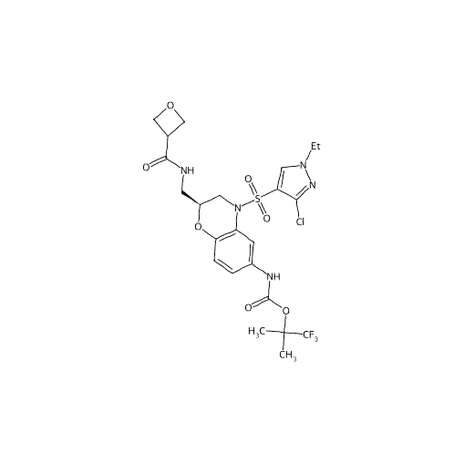 CCn1cc(S(=O)(=O)N2C[C@H](CNC(=O)C3COC3)Oc3ccc(NC(=O)OC(C)(C)C(F)(F)F)cc32)c(Cl)n1